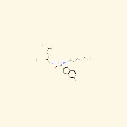 CCC(CC)CCC(C)CNC(=O)c1nn(CCCCCCl)c2c1Cc1cc(Cl)ccc1-2